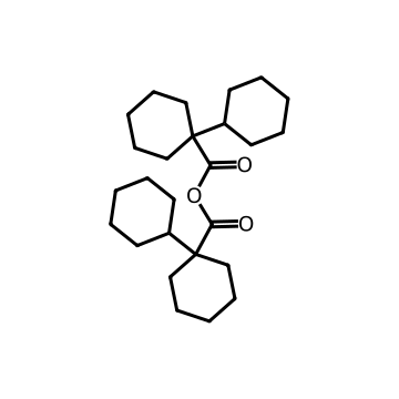 O=C(OC(=O)C1(C2CCCCC2)CCCCC1)C1(C2CCCCC2)CCCCC1